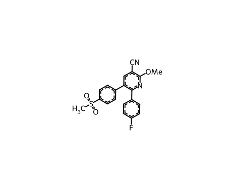 COc1nc(-c2ccc(F)cc2)c(-c2ccc(S(C)(=O)=O)cc2)cc1C#N